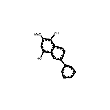 COc1cc(O)c2cc(-c3ccccc3)ccc2c1O